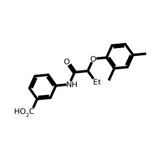 CCC(Oc1ccc(C)cc1C)C(=O)Nc1cccc(C(=O)O)c1